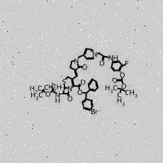 CC(C)(C)OC(=O)N[C@@H]1C(=O)N2C(C(=O)OC(c3ccccc3)c3ccccc3)=C(/C=C3\CCN(Cc4cc[n+](CC(=O)Nc5ccc(OC(=O)OC(C)(C)C)c(F)c5)cc4)C3=O)CS[C@H]12.[Br-]